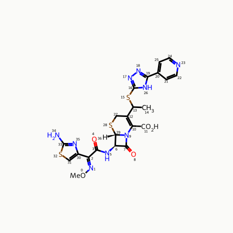 CON=C(C(=O)N[C@@H]1C(=O)N2C(C(=O)O)=C(C(C)Sc3nnc(-c4ccncc4)[nH]3)CS[C@@H]12)c1csc(N)n1